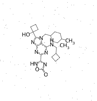 CC1CCC(Cn2c(C3(O)CCC3)nc3nc(-c4nc(=O)o[nH]4)nc(N[C@H](C)C4CCC4)c32)CC1